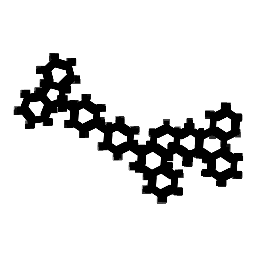 c1ccc(-c2nc3ccc4c(-c5ccc(-c6ccc(-n7c8ccccc8c8ccccc87)cc6)cc5)nc5ccccc5c4c3nc2-c2ccccc2)cc1